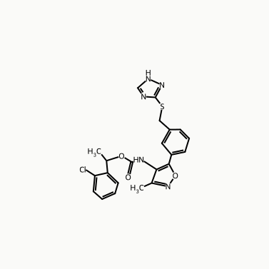 Cc1noc(-c2cccc(CSc3nc[nH]n3)c2)c1NC(=O)OC(C)c1ccccc1Cl